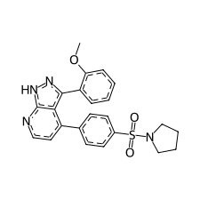 COc1ccccc1-c1n[nH]c2nccc(-c3ccc(S(=O)(=O)N4CCCC4)cc3)c12